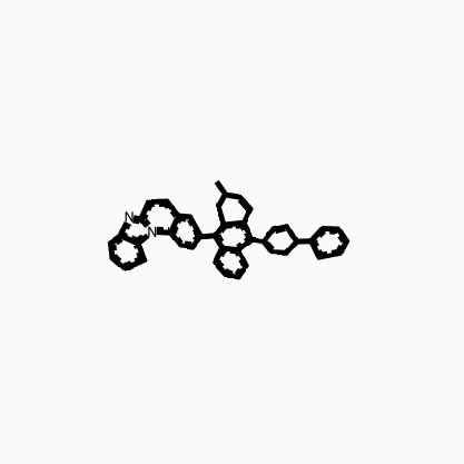 CC1C=Cc2c(c(-c3ccc4c(ccc5nc6ccccc6n54)c3)c3ccccc3c2C2=CCC(c3ccccc3)C=C2)C1